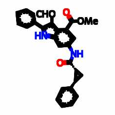 COC(=O)c1cc(NC(=O)[C@@H]2C[C@H]2c2ccccc2)cc2[nH]c(-c3ccccc3)c(C=O)c12